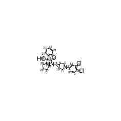 O=C(NC1C2CN(c3ccc(Cl)c(Cl)c3)CC21)C(O)(c1ccccc1)C1CCCC1